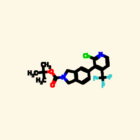 CC(C)(C)OC(=O)N1Cc2ccc(-c3c(C(F)(F)F)ccnc3Cl)cc2C1